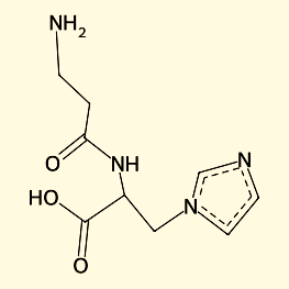 NCCC(=O)NC(Cn1ccnc1)C(=O)O